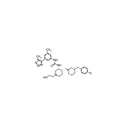 Cc1cc(NC(=O)N[C@H]2CN(CCO)CC[C@H]2CN2CCCC(Cc3ccc(F)cc3)C2)cc(-c2nnnn2C)c1